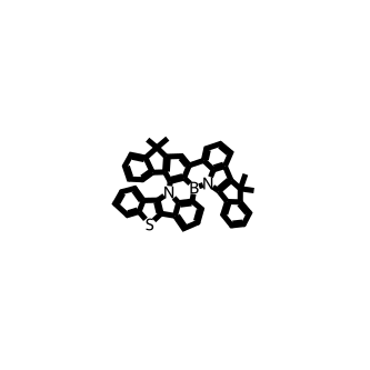 CC1(C)c2ccccc2-c2c1cc1c3c2-n2c4c(cccc4c4sc5ccccc5c42)B3n2c3c(c4cccc-1c42)C(C)(C)c1ccccc1-3